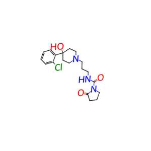 O=C1CCCN1C(=O)NCCCN1CCC(O)(c2ccccc2Cl)CC1